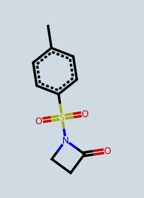 Cc1ccc(S(=O)(=O)N2CCC2=O)cc1